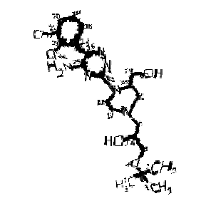 CC(C)(C)OCC(O)CN1CCN(c2nnc(-c3cccc(Cl)c3Cl)c(N)n2)C(CO)C1